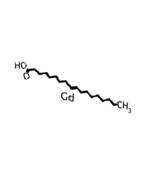 CCCCCCCCC=CCCCCCCCC(=O)O.[Gd]